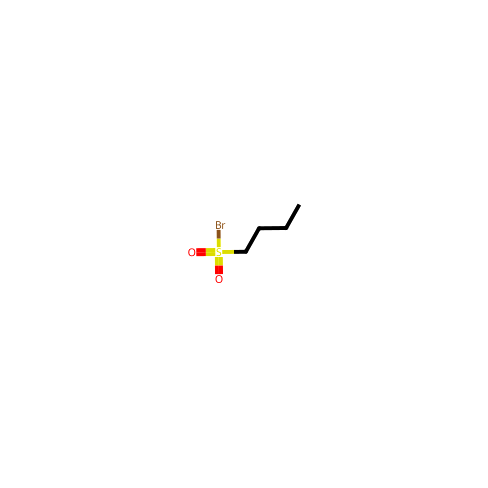 CCCCS(=O)(=O)Br